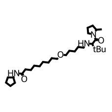 CC1CCCN1C(=O)C(NCCCCCOCCCCCCCCC(=O)NC1CCCC1)C(C)(C)C